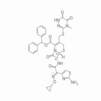 Cn1c(SCC2=C(C(=O)OC(c3ccccc3)c3ccccc3)N3C(=O)[C@@H](NC(=O)/C(=N/OC4CC4)c4csc(N)n4)[C@H]3SC2)n[nH]c(=O)c1=O